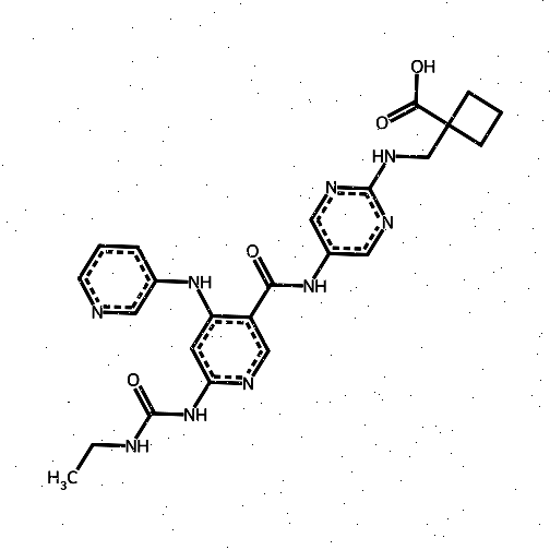 CCNC(=O)Nc1cc(Nc2cccnc2)c(C(=O)Nc2cnc(NCC3(C(=O)O)CCC3)nc2)cn1